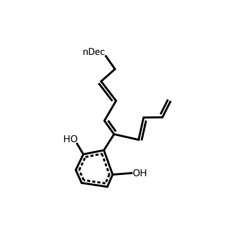 C=CC=CC(=CC=CCCCCCCCCCCC)c1c(O)cccc1O